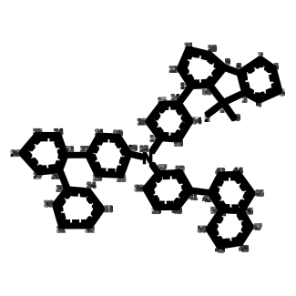 CC1(C)c2ccccc2-c2cccc(-c3ccc(N(c4ccc(-c5ccccc5-c5ccccc5)cc4)c4cccc(-c5cccc6ccccc56)c4)cc3)c21